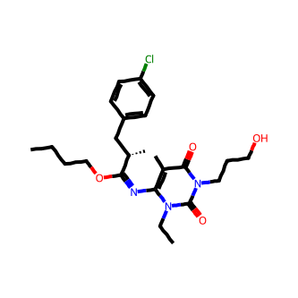 CCCCO/C(=N/c1c(C)c(=O)n(CCCO)c(=O)n1CC)[C@@H](C)Cc1ccc(Cl)cc1